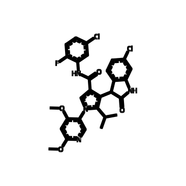 COc1cc(OC)c(-n2cc(C(=O)Nc3cc(Cl)ccc3F)c(C3C(=O)Nc4cc(Cl)ccc43)c2C(C)C)cn1